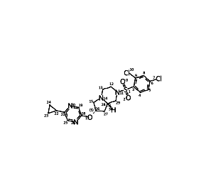 O=S(=O)(c1ccc(Cl)cc1Cl)N1CCN2C[C@@H](Oc3cnc(C4CC4)cn3)C[C@H]2C1